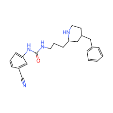 N#Cc1cccc(NC(=O)NCCCC2CC(Cc3ccccc3)CCN2)c1